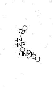 O=C(Nc1ccc(NC(=S)NCCc2cc3ccccc3o2)cc1)Oc1cc2ccccc2cn1